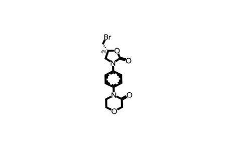 O=C1COCCN1c1ccc(N2C[C@H](CBr)OC2=O)cc1